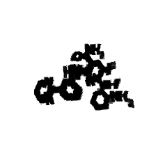 NC(=O)c1cc(F)c(N[C@@H]2CCCC[C@@H]2N)nc1Nc1cccc(-c2ncccn2)c1